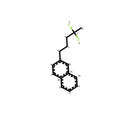 [CH2]C(F)(F)CCCc1ccc2ccccc2c1